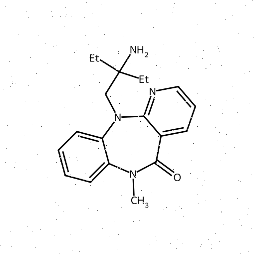 CCC(N)(CC)CN1c2ccccc2N(C)C(=O)c2cccnc21